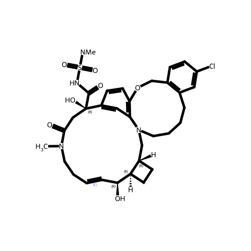 CNS(=O)(=O)NC(=O)[C@@]1(O)CC(=O)N(C)CC/C=C/[C@H](O)[C@@H]2CC[C@H]2CN2CCCCc3cc(Cl)ccc3COc3ccc1cc32